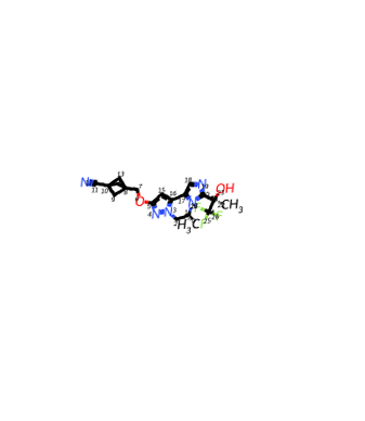 C[C@H]1Cn2nc(OCC34CC(C#N)(C3)C4)cc2-c2cnc([C@@](C)(O)C(F)(F)F)n21